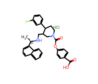 C[C@@H](NCC1CN(C(=O)Oc2ccc(C(=O)O)cc2)CCC1c1cccc(F)c1)c1cccc2ccccc12.Cl